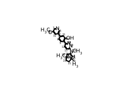 COc1cncc(-c2ccc(-c3ccc(N(C)C4C[C@]5(C)CC[C@](C)(C4)N5)nn3)c(O)c2)c1